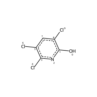 Oc1nc(Cl)c(Cl)cc1Cl